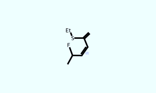 C=C(/C=C\C(C)F)SCC